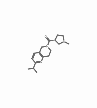 CC(C)c1ccc2c(n1)CCN(C(=O)[C@H]1CCN(C)C1)C2